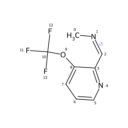 C/N=C\c1ncccc1OC(F)(F)F